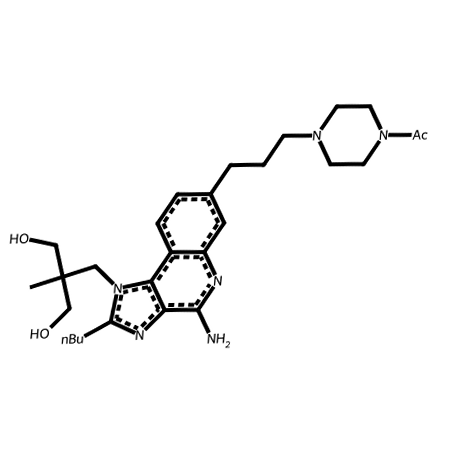 CCCCc1nc2c(N)nc3cc(CCCN4CCN(C(C)=O)CC4)ccc3c2n1CC(C)(CO)CO